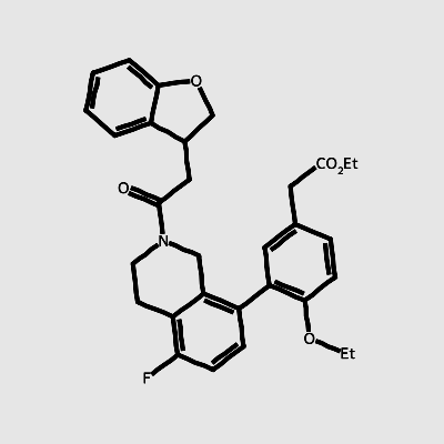 CCOC(=O)Cc1ccc(OCC)c(-c2ccc(F)c3c2CN(C(=O)CC2COc4ccccc42)CC3)c1